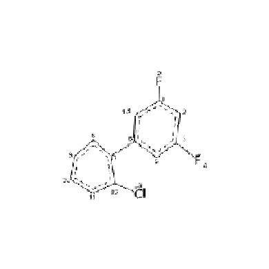 Fc1cc(F)cc(-c2ccccc2Cl)c1